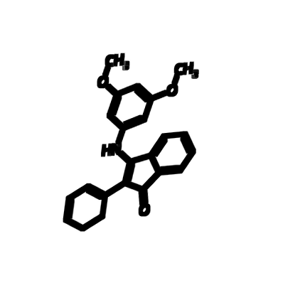 COc1cc(NC2=C(C3=CC=CCC3)C(=O)c3ccccc32)cc(OC)c1